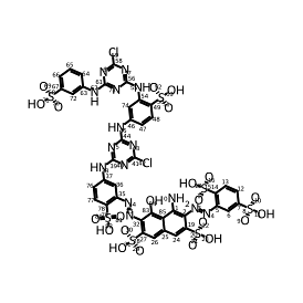 Nc1c(N=Nc2cc(S(=O)(=O)O)ccc2S(=O)(=O)O)c(S(=O)(=O)O)cc2cc(S(=O)(=O)O)c(N=Nc3cc(Nc4nc(Cl)nc(Nc5ccc(S(=O)(=O)O)c(Nc6nc(Cl)nc(Nc7cccc(S(=O)(=O)O)c7)n6)c5)n4)ccc3S(=O)(=O)O)c(O)c12